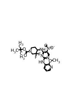 COc1ncccc1Nc1ncc([N+](=O)[O-])c(NC2CCN(C(=O)OC(C)(C)C)CC2(F)F)n1